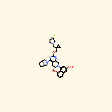 Oc1cc(N2CCc3c(nc(OCC4(CN5CC[C@@H](F)C5)CC4)nc3N3CC4CCC(C3)N4)C2)c2c(Br)cccc2c1